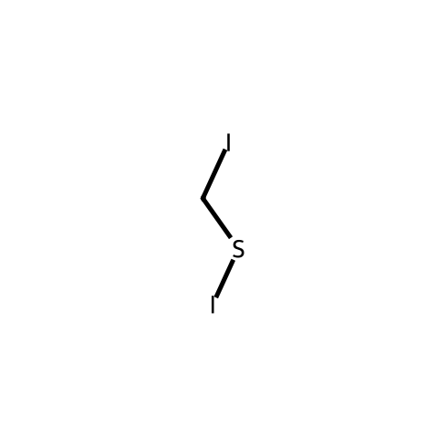 ICSI